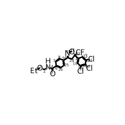 CCOCNC(=O)c1ccc(C2=NOC(c3cc(Cl)c(Cl)c(Cl)c3)(C(F)(F)F)C2)cc1